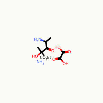 CCOC(=O)C(C)(O)C(=O)C(C)N.N.O=C(O)C(=O)O